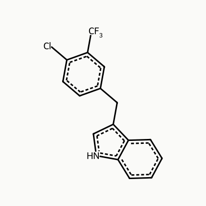 FC(F)(F)c1cc(Cc2c[nH]c3ccccc23)ccc1Cl